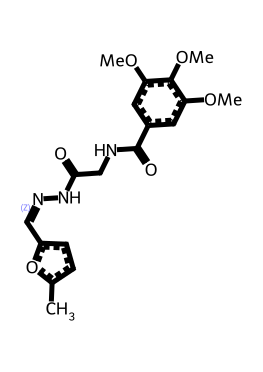 COc1cc(C(=O)NCC(=O)N/N=C\c2ccc(C)o2)cc(OC)c1OC